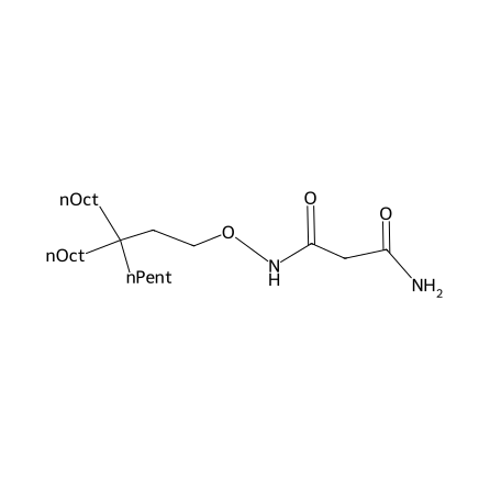 CCCCCCCCC(CCCCC)(CCCCCCCC)CCONC(=O)CC(N)=O